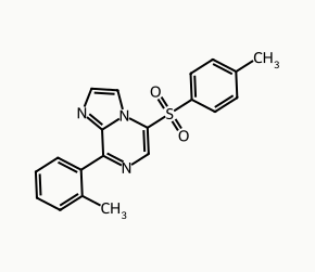 Cc1ccc(S(=O)(=O)c2cnc(-c3ccccc3C)c3nccn23)cc1